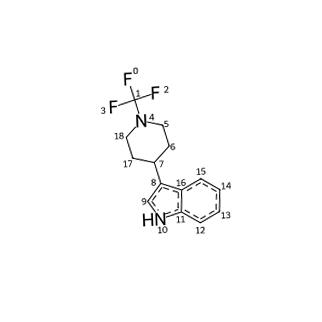 FC(F)(F)N1CCC(c2c[nH]c3ccccc23)CC1